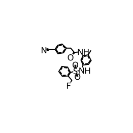 Cc1ccc(NS(=O)(=O)c2ccccc2CF)cc1NC(=O)Cc1ccc(C#N)cc1